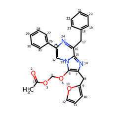 CC(=O)OCOc1c(Cc2ccco2)nc2c(Cc3ccccc3)nc(-c3ccccc3)cn12